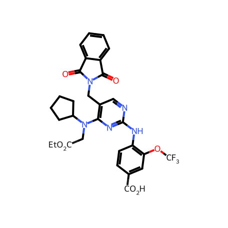 CCOC(=O)CN(c1nc(Nc2ccc(C(=O)O)cc2OC(F)(F)F)ncc1CN1C(=O)c2ccccc2C1=O)C1CCCC1